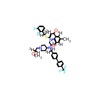 [2H]c1c(C)c([2H])c2c(=O)c([2H])c(SC([2H])([2H])c3cccc(F)c3F)n(CC(=O)N(C3CCN(CC([2H])([2H])OC)CC3)C([2H])([2H])c3ccc(-c4ccc(C(F)(F)F)cc4)cc3)c2c1[2H]